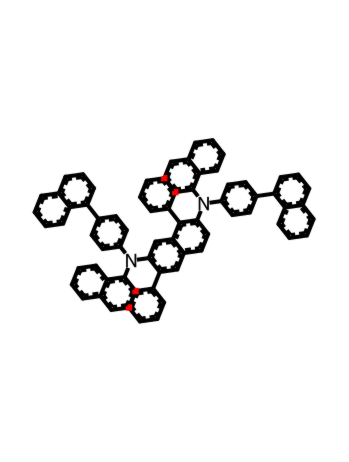 c1ccc(-c2cc3ccc(N(c4ccc(-c5cccc6ccccc56)cc4)c4cccc5ccccc45)c(-c4ccccc4)c3cc2N(c2ccc(-c3cccc4ccccc34)cc2)c2cccc3ccccc23)cc1